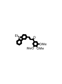 CCn1c2ccccc2c2cc(C=CC(=O)c3cc(OC)c(OC)c(OC)c3)ccc21